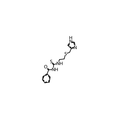 O=C(NC(=S)NCCSCc1c[nH]cn1)c1ccccc1